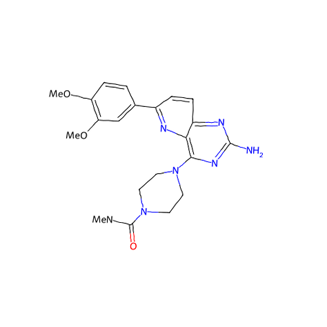 CNC(=O)N1CCN(c2nc(N)nc3ccc(-c4ccc(OC)c(OC)c4)nc23)CC1